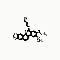 COc1cc2c(OCCCBr)nc3c4cc5c(cc4ccc3c2cc1OC)OCO5